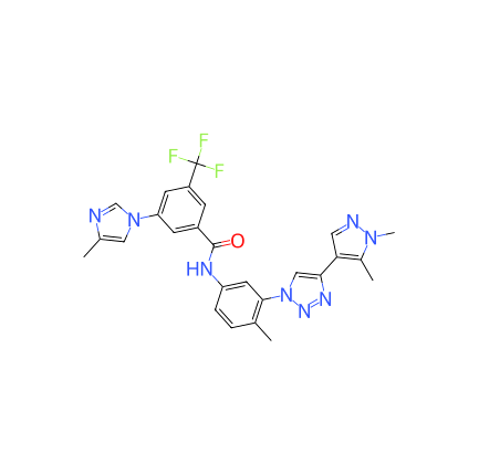 Cc1cn(-c2cc(C(=O)Nc3ccc(C)c(-n4cc(-c5cnn(C)c5C)nn4)c3)cc(C(F)(F)F)c2)cn1